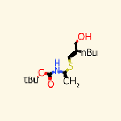 C=C(NC(=O)OC(C)(C)C)S/C=C(/CO)CCCC